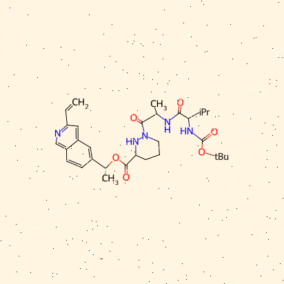 C=Cc1cc2cc([C@@H](C)OC(=O)C3CCCN(C(=O)C(C)NC(=O)C(NC(=O)OC(C)(C)C)C(C)C)N3)ccc2cn1